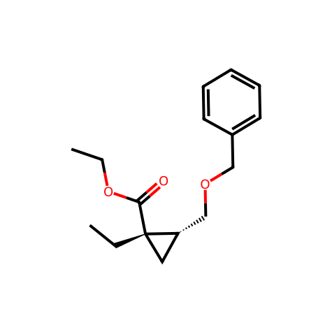 CCOC(=O)[C@@]1(CC)C[C@H]1COCc1ccccc1